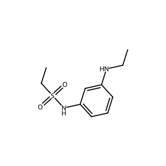 CCNc1cccc(NS(=O)(=O)CC)c1